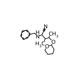 CC(OC1CCCCO1)C(C)C(C#N)NCc1ccccc1